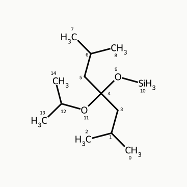 CC(C)CC(CC(C)C)(O[SiH3])OC(C)C